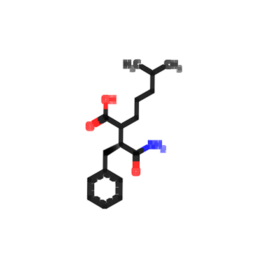 CC(C)CCCC(C(=O)O)[C@H](Cc1ccccc1)C(N)=O